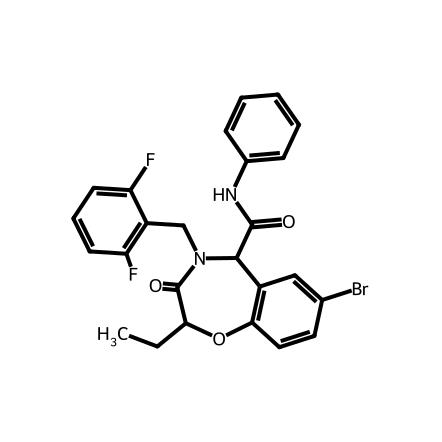 CCC1Oc2ccc(Br)cc2C(C(=O)Nc2ccccc2)N(Cc2c(F)cccc2F)C1=O